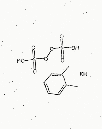 Cc1ccccc1C.O=S(=O)(O)OOS(=O)(=O)O.[KH]